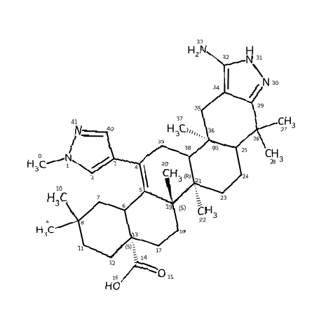 Cn1cc(C2=C3C4CC(C)(C)CC[C@]4(C(=O)O)CC[C@@]3(C)[C@]3(C)CCC4C(C)(C)c5n[nH]c(N)c5C[C@]4(C)C3C2)cn1